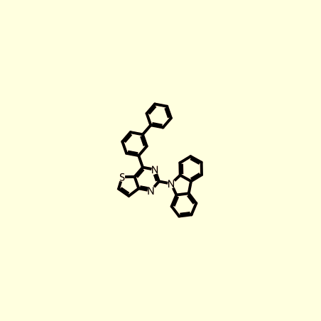 c1ccc(-c2cccc(-c3nc(-n4c5ccccc5c5ccccc54)nc4ccsc34)c2)cc1